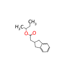 CCC(C)OC(=O)CC1Cc2ccccc2C1